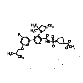 CC(C)COc1cc(F)cc(-c2ccc(C(=O)NS(=O)(=O)N3CCC(S(C)(=O)=O)C3)c(N3C[C@@H](C)CC3(C)C)n2)c1